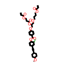 C=CC(=O)OCCCCOCC(COc1ccc(C(=O)Oc2ccc(C#CC3CCC(OC)CC3)cc2F)cc1)OC(=O)CCOC(=O)C=C